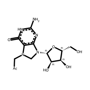 CC(=O)CN1CN([C@@H]2O[C@H](CO)[C@@H](O)[C@H]2O)c2nc(N)[nH]c(=O)c21